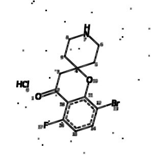 Cl.O=C1CC2(CCNCC2)Oc2c(Br)ccc(F)c21